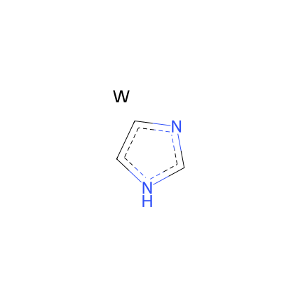 [W].c1c[nH]cn1